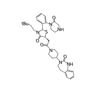 CC(C)(C)CCN1C(=O)[C@H](CC(=O)N2CCC(N3CCc4ccccc4NC3=O)CC2)SC1c1ccccc1N1CCNCC1=O